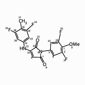 COc1c(F)cc(N2C(=O)C=C(Nc3cc(F)c(C)c(F)c3)C2=O)cc1F